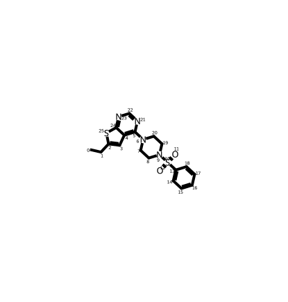 CCc1cc2c(N3CCN(S(=O)(=O)c4ccccc4)CC3)ncnc2s1